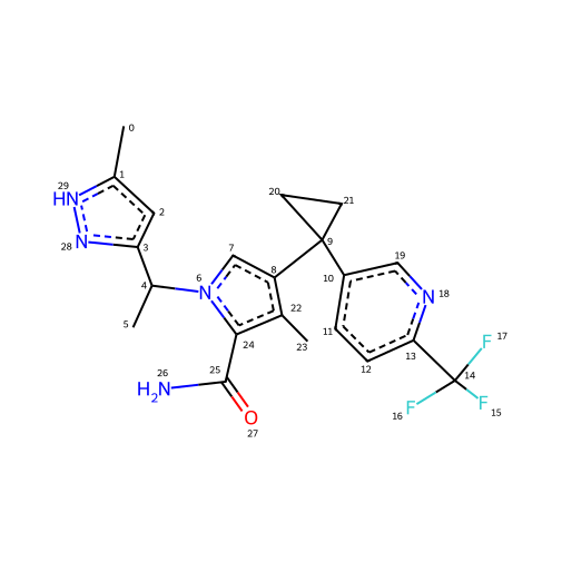 Cc1cc(C(C)n2cc(C3(c4ccc(C(F)(F)F)nc4)CC3)c(C)c2C(N)=O)n[nH]1